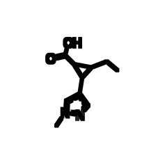 CCC1C(C(=O)O)C1c1cnn(C)c1